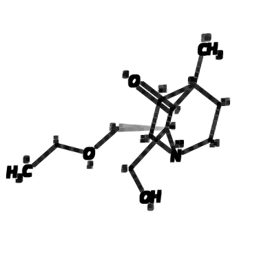 CCOC[C@]1(CO)C(=O)C2(C)CCN1CC2